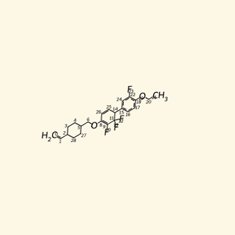 C=CC1CCC(COC2=C(F)C(F)(F)C(c3ccc(OCC)c(F)c3)C=C2)CC1